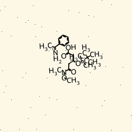 CON(C)C(=O)C[C@@H](CC(=O)O)O[Si](C)(C)C(C)(C)C.C[C@H](N)c1ccccc1